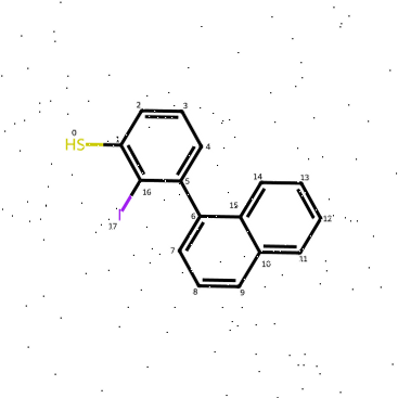 Sc1cccc(-c2cccc3ccccc23)c1I